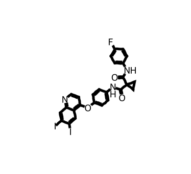 O=C(Nc1ccc(F)cc1)C1(C(=O)Nc2ccc(Oc3ccnc4cc(I)c(I)cc34)cc2)CC1